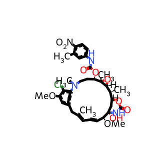 COc1cc2cc(c1Cl)N(C)CC[C@H](OC(=O)Nc1ccc([N+](=O)[O-])c(C)c1)[C@]1(C)O[C@H]1[C@H](C)[C@@H]1C[C@@](O)(NC(=O)O1)[C@H](OC)/C=C/C=C(\C)C2